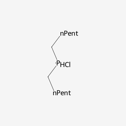 CCCCCC[P]CCCCCC.Cl